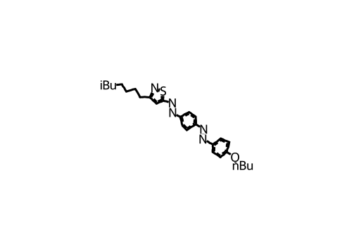 CCCCOc1ccc(/N=N/c2ccc(/N=N/c3cc(CCCCC(C)CC)ns3)cc2)cc1